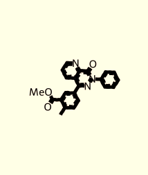 COC(=O)c1cc(-c2nn(-c3ccccc3)c(=O)c3ncccc23)ccc1C